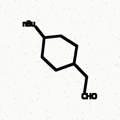 CCCCC1CCC(CC=O)CC1